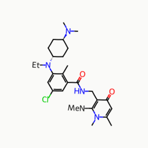 CCN(c1cc(Cl)cc(C(=O)NCc2c(NC)n(C)c(C)cc2=O)c1C)[C@H]1CC[C@H](N(C)C)CC1